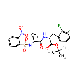 C[C@H](NS(=O)(=O)c1ccccc1[N+](=O)[O-])C(=O)N[C@@H](Cc1cccc(F)c1F)C(=O)OC(C)(C)C